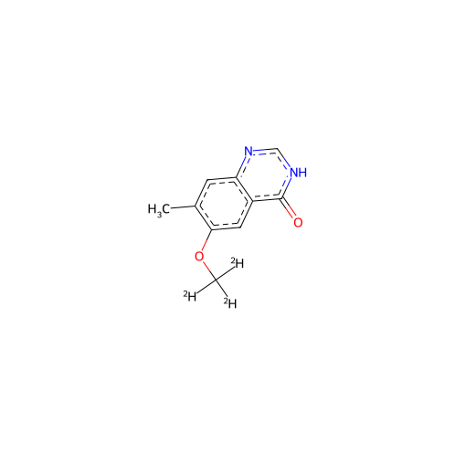 [2H]C([2H])([2H])Oc1cc2c(=O)[nH]cnc2cc1C